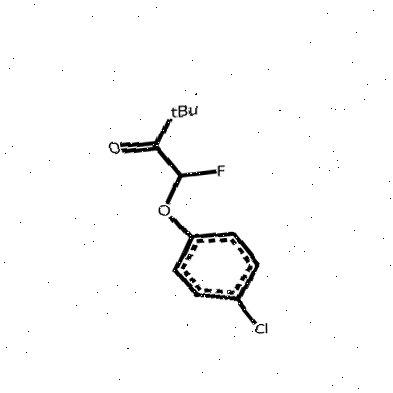 CC(C)(C)C(=O)C(F)Oc1ccc(Cl)cc1